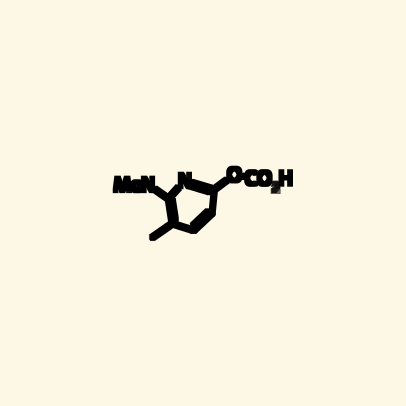 CNc1nc(OC(=O)O)ccc1C